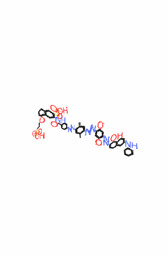 COc1cc(N=Nc2ccc3cc(Nc4ccccc4)ccc3c2O)c(OC)cc1N=Nc1cc(C)c(N=Nc2ccc(C(=O)Nc3cc4c(OCCCS(=O)(=O)O)cccc4cc3S(=O)(=O)O)cc2)cc1C